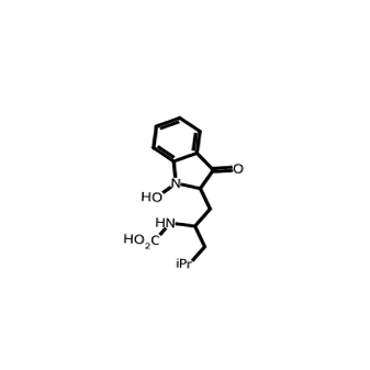 CC(C)CC(CC1C(=O)c2ccccc2N1O)NC(=O)O